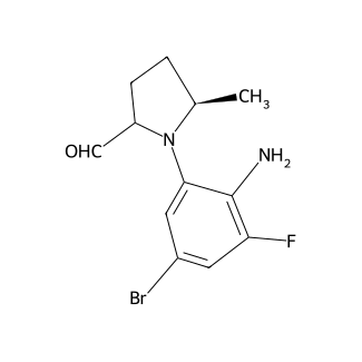 C[C@@H]1CCC(C=O)N1c1cc(Br)cc(F)c1N